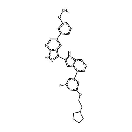 COc1cncc(-c2cnc3[nH]nc(-c4cc5c(-c6cc(F)cc(OCCN7CCCC7)c6)cncc5[nH]4)c3c2)c1